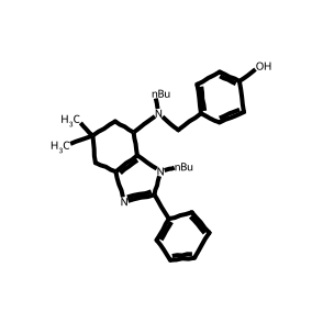 CCCCN(Cc1ccc(O)cc1)C1CC(C)(C)Cc2nc(-c3ccccc3)n(CCCC)c21